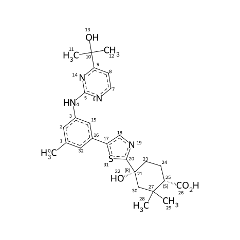 Cc1cc(Nc2nccc(C(C)(C)O)n2)cc(-c2cnc([C@@]3(O)CC[C@H](C(=O)O)C(C)(C)C3)s2)c1